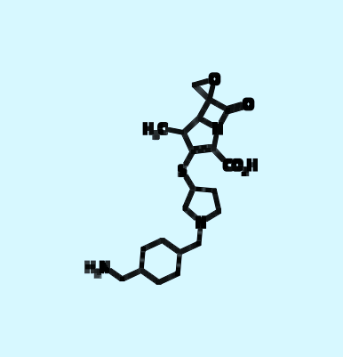 CC1C(SC2CCN(CC3CCC(CN)CC3)C2)=C(C(=O)O)N2C(=O)C3(CO3)C12